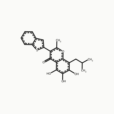 Cc1oc2c(CC(C)C)c(O)c(O)c(O)c2c(=O)c1-c1cc2ccccc2s1